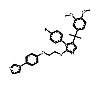 COc1ccc(C(C)(C)c2cnc(SCCOc3ccc(-c4ccsc4)cc3)n2-c2ccc(F)cc2)cc1OC